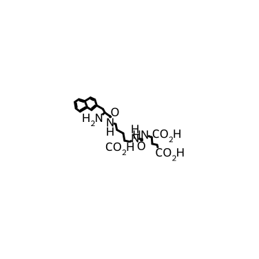 NC(Cc1ccc2ccccc2c1)C(=O)NCCCCC(NC(=O)NC(CCC(=O)O)C(=O)O)C(=O)O